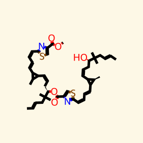 C/C=C/CC(C)(C)[C@H](C/C=C\C1C(C)C1/C=C/C=C\c1nc(C(=O)OC)cs1)OC(=O)c1csc(/C=C\C=C\C2C(/C=C\C[C@H](O)C(C)(C)C/C=C/C)[C@H]2C)n1